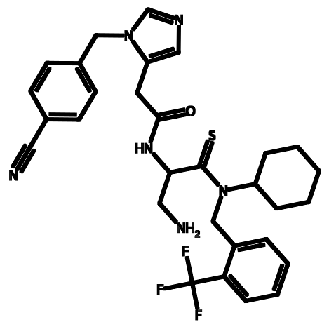 N#Cc1ccc(Cn2cncc2CC(=O)NC(CN)C(=S)N(Cc2ccccc2C(F)(F)F)C2CCCCC2)cc1